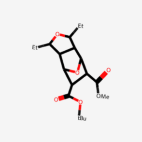 CCC1OC(CC)C2C3OC(C(C(=O)OC)C3C(=O)OC(C)(C)C)C12